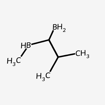 BC(BC)C(C)C